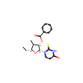 CC[C@H]1O[C@@H](n2ccc(=O)[nH]c2=S)[C@@H](OC(=O)c2ccccc2)C1C